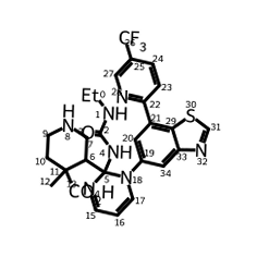 CCNC(=O)NC1(C2CNCCC2(C)C(=O)O)N=CC=CN1c1cc(-c2ccc(C(F)(F)F)cn2)c2scnc2c1